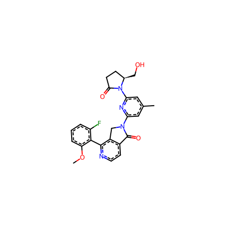 COc1cccc(F)c1-c1nccc2c1CN(c1cc(C)cc(N3C(=O)CC[C@H]3CO)n1)C2=O